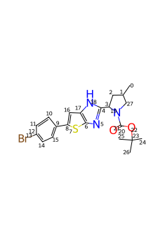 CC1CC(c2nc3sc(-c4ccc(Br)cc4)cc3[nH]2)N(C(=O)OC(C)(C)C)C1